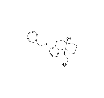 NCC[C@]12CCCC[C@@]1(O)CCc1c(OCc3ccccc3)cccc12